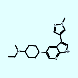 CCN(C)[C@H]1CC[C@@H](c2cnc3[nH]cc(-c4cnn(C)c4)c3c2)CC1